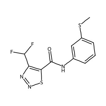 CSc1cccc(NC(=O)c2snnc2C(F)F)c1